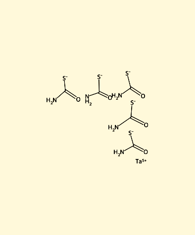 NC(=O)[S-].NC(=O)[S-].NC(=O)[S-].NC(=O)[S-].NC(=O)[S-].[Ta+5]